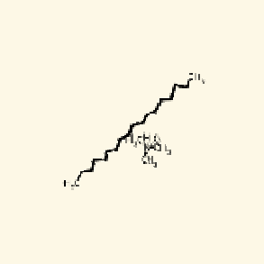 CN(C)C.O.[CH2]CCCCCCCCCCCCCCCCC